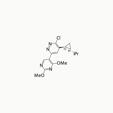 COc1ncc(-c2cc([C@H]3C[C@@H]3C(C)C)c(Cl)nn2)c(OC)n1